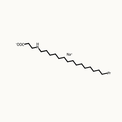 CC(C)CCCCCCCCCCCCCCCNCCC(=O)[O-].[Na+]